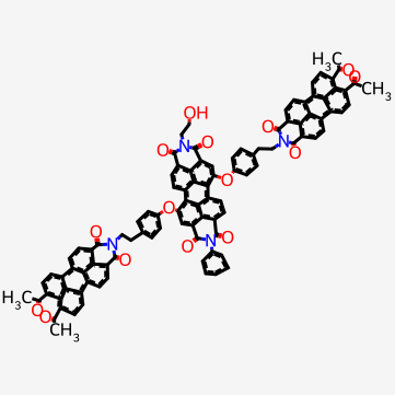 CC(=O)c1ccc2c3ccc4c5c(ccc(c6ccc(C(C)=O)c1c26)c53)C(=O)N(CCc1ccc(Oc2cc3c5c(ccc6c7c(Oc8ccc(CCN9C(=O)c%10ccc%11c%12ccc(C(C)=O)c%13c(C(C)=O)ccc(c%14ccc(c%10c%11%14)C9=O)c%13%12)cc8)cc8c9c(ccc(c2c56)c97)C(=O)N(c2ccccc2)C8=O)C(=O)N(CCO)C3=O)cc1)C4=O